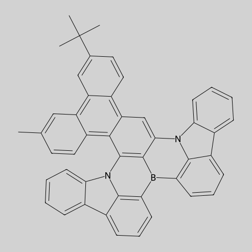 Cc1ccc2c(c1)c1cc(C(C)(C)C)ccc1c1cc3c4c(c21)-n1c2ccccc2c2cccc(c21)B4c1cccc2c4ccccc4n-3c12